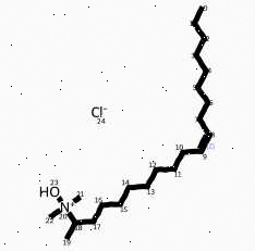 CCCCCCCC/C=C\CCCCCCCCC(C)[N+](C)(C)O.[Cl-]